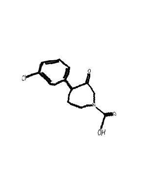 O=C1CN(C(=O)O)CCC1c1cccc(Cl)c1